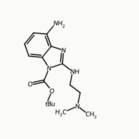 CN(C)CCNc1nc2c(N)cccc2n1C(=O)OC(C)(C)C